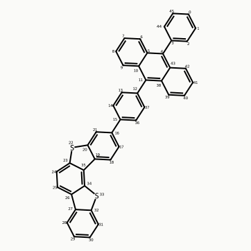 c1ccc(-c2c3ccccc3c(-c3ccc(-c4ccc5c(c4)sc4ccc6c7ccccc7sc6c45)cc3)c3ccccc23)cc1